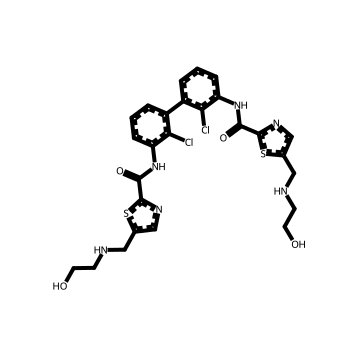 O=C(Nc1cccc(-c2cccc(NC(=O)c3ncc(CNCCO)s3)c2Cl)c1Cl)c1ncc(CNCCO)s1